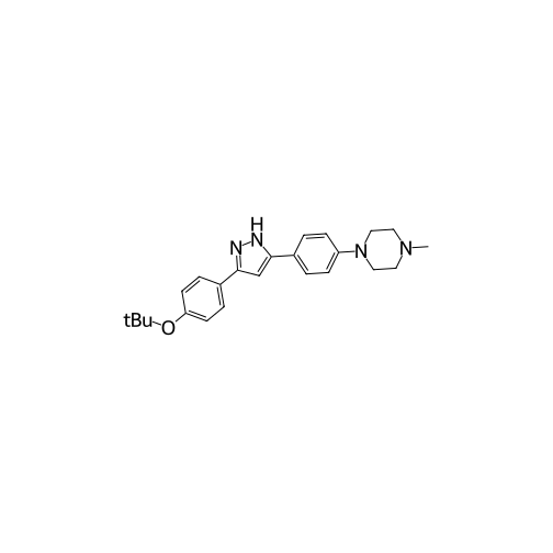 CN1CCN(c2ccc(-c3cc(-c4ccc(OC(C)(C)C)cc4)n[nH]3)cc2)CC1